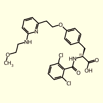 COCCNc1cccc(CCOc2ccc(C[C@H](NC(=O)c3c(Cl)cccc3Cl)C(=O)O)cc2)n1